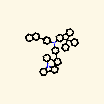 c1ccc(C2(c3ccccc3)c3ccccc3-c3ccc(N(c4ccc(-c5ccc6ccccc6c5)cc4)c4ccc(-c5ccccc5-c5ccccc5-n5c6ccccc6c6ccccc65)cc4)cc32)cc1